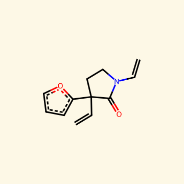 C=CN1CCC(C=C)(c2ccco2)C1=O